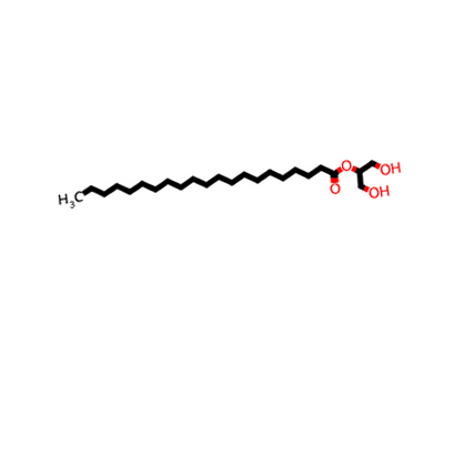 CCCCCCCCCCCCCCCCCCCCC(=O)OC(CO)CO